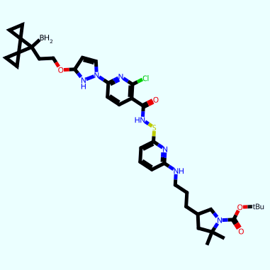 BC1(CCOC2C=CN(c3ccc(C(=O)NSc4cccc(NCCCC5CN(C(=O)OC(C)(C)C)C(C)(C)C5)n4)c(Cl)n3)N2)C2(CC2)C12CC2